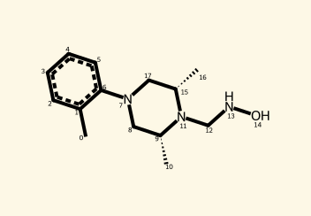 Cc1ccccc1N1C[C@@H](C)N(CNO)[C@@H](C)C1